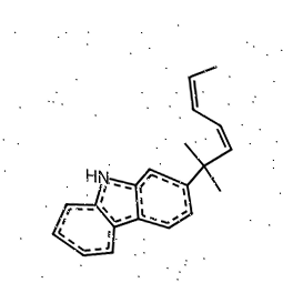 C/C=C\C=C/C(C)(C)c1ccc2c(c1)[nH]c1ccccc12